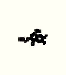 CC(C)(C)n1cc(C(=O)O)c(=O)c2cc(F)c(F)cc21